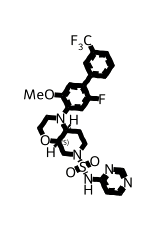 COc1cc(-c2cccc(C(F)(F)F)c2)c(F)cc1N1CCO[C@H]2CN(S(=O)(=O)Nc3ccncn3)CC[C@@H]21